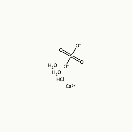 Cl.O.O.O=S(=O)([O-])[O-].[Ca+2]